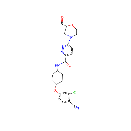 N#Cc1ccc(OC2CCC(NC(=O)c3ccc(N4CCOC(C=O)C4)nn3)CC2)cc1Cl